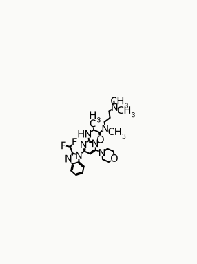 C[C@H](Nc1nc(N2CCOCC2)cc(-n2c(C(F)F)nc3ccccc32)n1)C(=O)N(C)CCCN(C)C